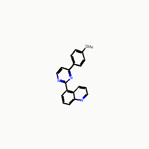 COc1ccc(-c2ccnc(-c3cccc4ncccc34)n2)cc1